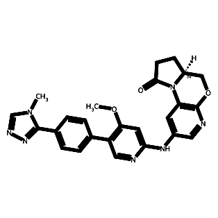 COc1cc(Nc2cnc3c(c2)N2C(=O)CC[C@H]2CO3)ncc1-c1ccc(-c2nncn2C)cc1